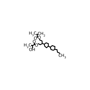 C=C(C)C(=O)OCCC(CCOC(=O)C(=C)CO)C1CCC(C2CCC(CCCC)CC2)CC1